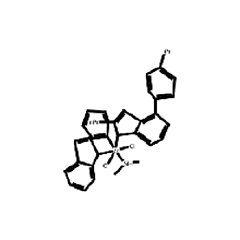 CCCC1=Cc2c(-c3ccc(C(C)C)cc3)cccc2[CH]1[Zr]([Cl])([Cl])([c]1ccccc1)([CH]1C=Cc2ccccc21)[SiH](C)C